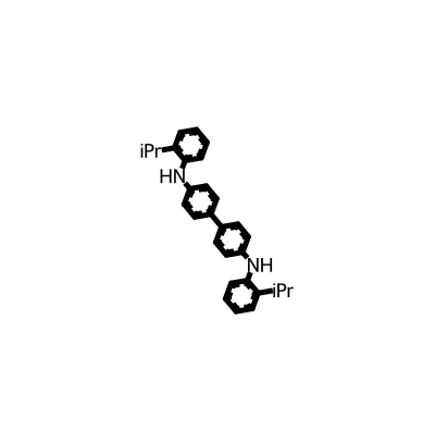 CC(C)c1ccccc1Nc1ccc(-c2ccc(Nc3ccccc3C(C)C)cc2)cc1